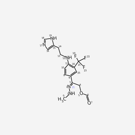 CN/N=C(\COC=O)c1ccc(NCCc2cnc[nH]2)c(C(F)(F)F)c1